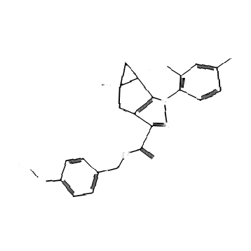 COc1ccc(CNC(=O)c2nn(-c3ccc(F)cc3F)c3c2C[C@H]2C[C@@H]32)cc1